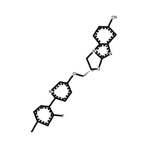 Cc1ccc(-c2ccc(OC[C@@H]3Cn4c(nc5cc(C#N)ccc54)O3)cn2)c(F)c1